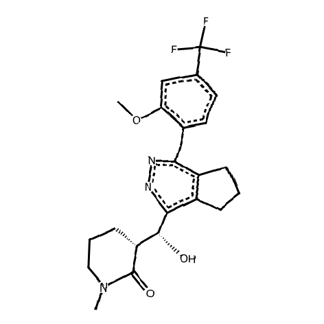 COc1cc(C(F)(F)F)ccc1-c1nnc([C@H](O)[C@H]2CCCN(C)C2=O)c2c1CCC2